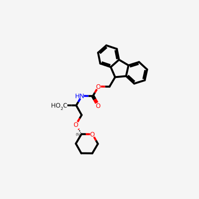 O=C(NC(CO[C@H]1CCCCO1)C(=O)O)OCC1c2ccccc2-c2ccccc21